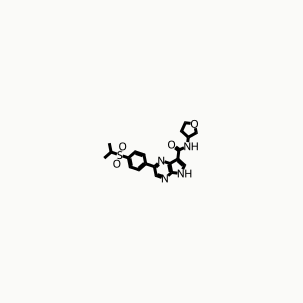 CC(C)S(=O)(=O)c1ccc(-c2cnc3[nH]cc(C(=O)NC4CCOC4)c3n2)cc1